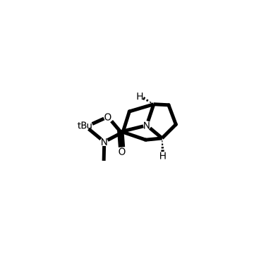 CN(C)C1C[C@H]2CC[C@@H](C1)N2C(=O)OC(C)(C)C